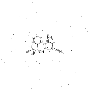 N#Cc1ccc(-c2cccc3c2C(O)C(F)(F)C3)c(N)c1